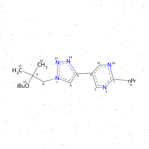 CCCc1ncc(-c2cn(CC(C)(C)OCC(C)C)nn2)cn1